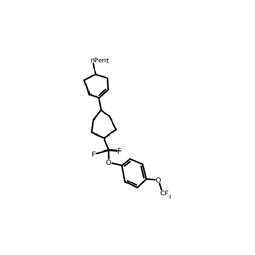 CCCCCC1CC=C(C2CCC(C(F)(F)Oc3ccc(OC(F)(F)F)cc3)CC2)CC1